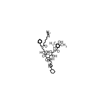 Cc1cc(C(=O)NC[C@@H](O)[C@@H](O)C2O[C@@](OCCCN(Cc3ccccc3)C(=O)CCCCCN=[N+]=[N-])(C(=O)O)CC(O)[C@H]2NC(=O)Cn2cc(C3CCCCC3)nn2)cc(C)c1O